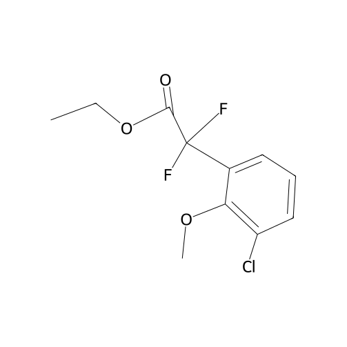 CCOC(=O)C(F)(F)c1cccc(Cl)c1OC